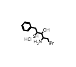 CC(C)CC(N)C(O)C(S)Cc1ccccc1.Cl